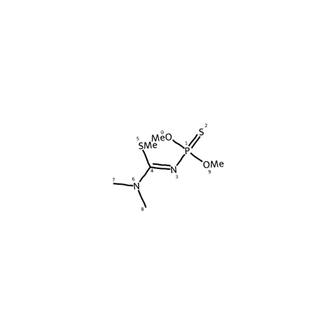 COP(=S)(/N=C(\SC)N(C)C)OC